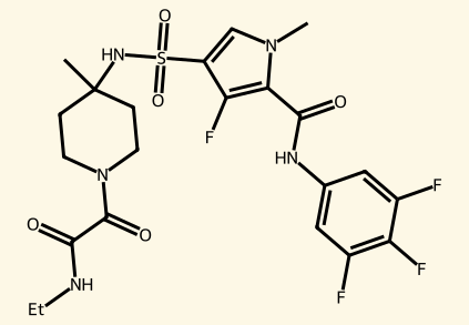 CCNC(=O)C(=O)N1CCC(C)(NS(=O)(=O)c2cn(C)c(C(=O)Nc3cc(F)c(F)c(F)c3)c2F)CC1